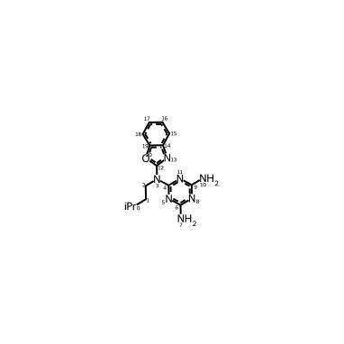 CC(C)CCN(c1nc(N)nc(N)n1)c1nc2ccccc2o1